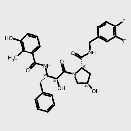 Cc1c(O)cccc1C(=O)N[C@@H](Cc1ccccc1)[C@H](O)C(=O)N1C[C@H](O)C[C@H]1C(=O)NCc1ccc(F)c(F)c1